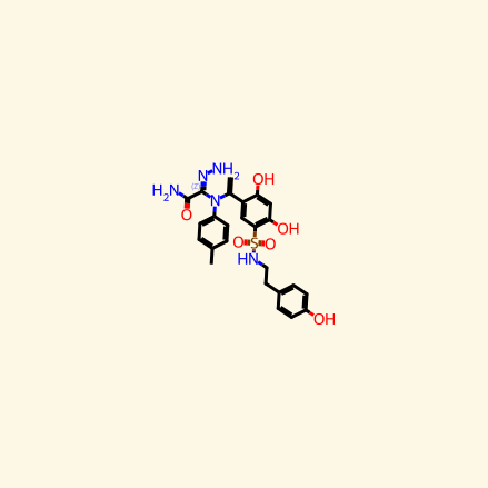 C=C(c1cc(S(=O)(=O)NCCc2ccc(O)cc2)c(O)cc1O)N(/C(=N\N)C(N)=O)c1ccc(C)cc1